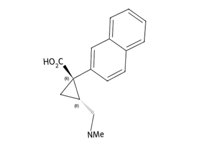 CNC[C@@H]1C[C@]1(C(=O)O)c1ccc2ccccc2c1